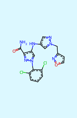 NC(=O)c1nn(-c2c(Cl)cccc2Cl)cc1Nc1cnn(Cc2ccon2)c1